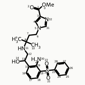 COC(=O)c1cn(CCC(C)(C)NCC(O)c2cccc(S(=O)(=O)c3ccccc3)c2N)cn1